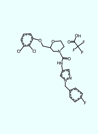 O=C(Nc1cnn(Cc2ccc(F)cc2)c1)N1CCOC(COc2cccc(Cl)c2Cl)C1.O=C(O)C(F)(F)F